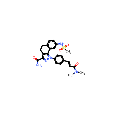 CN(C)C(=O)C=Cc1ccc(-n2nc(C(N)=O)c3c2-c2cc(NS(C)(=O)=O)ccc2CC3)cc1